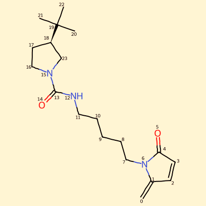 C=C1C=CC(=O)N1CCCCCNC(=O)N1CC[C@@H](C(C)(C)C)C1